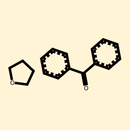 C1CCOC1.O=C(c1ccccc1)c1ccccc1